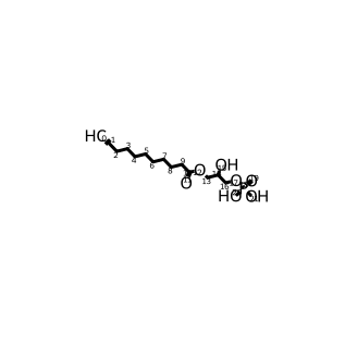 C#CCCCCCCCCC(=O)OCC(O)COP(=O)(O)O